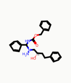 NN(C[C@@H](O)CCc1ccccc1)C(NC(=O)OCc1ccccc1)c1ccccc1